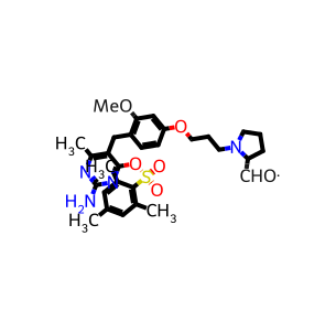 COc1cc(OCCCN2CCCC2[C]=O)ccc1Cc1c(C)nc(N)nc1OS(=O)(=O)c1c(C)cc(C)cc1C